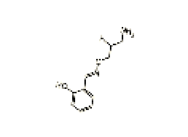 NCC(F)CON=Cc1ccccc1O